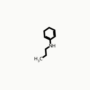 CCCNC1=CCCC=C1